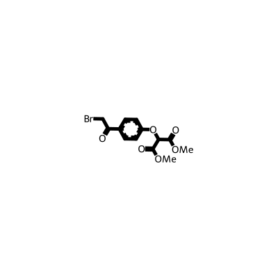 COC(=O)C(Oc1ccc(C(=O)CBr)cc1)C(=O)OC